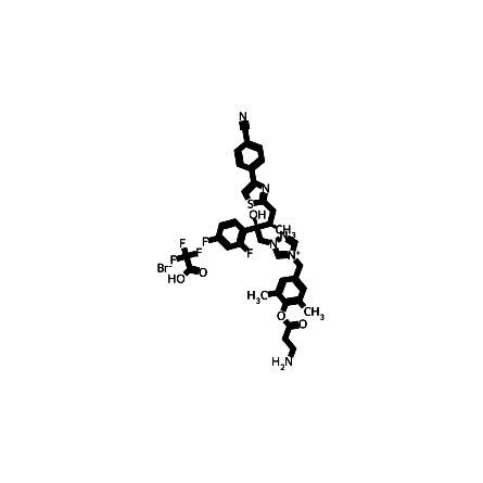 Cc1cc(C[n+]2cnn(C[C@](O)(c3ccc(F)cc3F)[C@H](C)Cc3nc(-c4ccc(C#N)cc4)cs3)c2)cc(C)c1OC(=O)CCN.O=C(O)C(F)(F)F.[Br-]